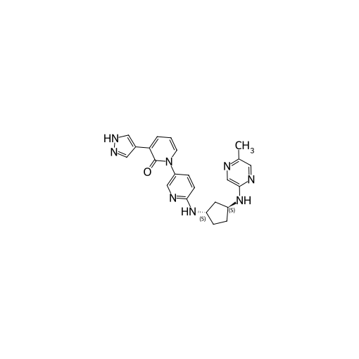 Cc1cnc(N[C@H]2CC[C@H](Nc3ccc(-n4cccc(-c5cn[nH]c5)c4=O)cn3)C2)cn1